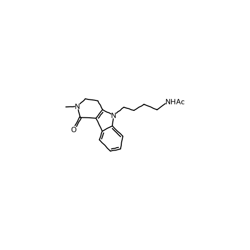 CC(=O)NCCCCn1c2c(c3ccccc31)C(=O)N(C)CC2